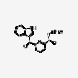 CCCCCCOC(=O)c1cccc(C(=O)c2c[nH]c3ccccc23)n1